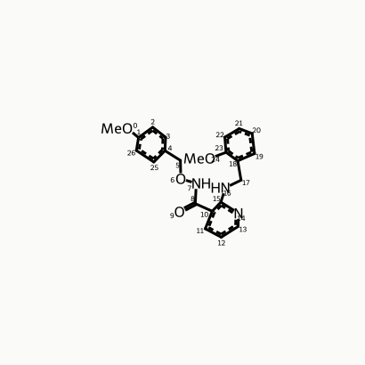 COc1ccc(CONC(=O)c2cccnc2NCc2ccccc2OC)cc1